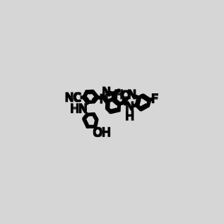 Cc1nn(-c2ccc(C#N)c(N[C@H]3CC[C@H](O)CC3)c2)c2cccc(C(=O)Nc3ccc(F)cc3N)c12